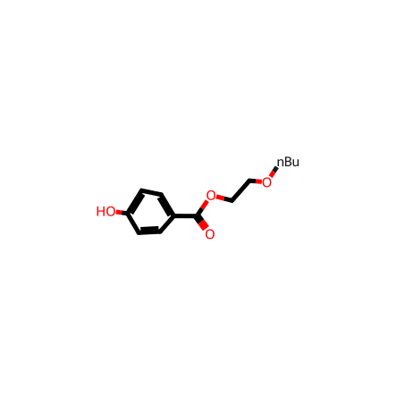 CCCCOCCOC(=O)c1ccc(O)cc1